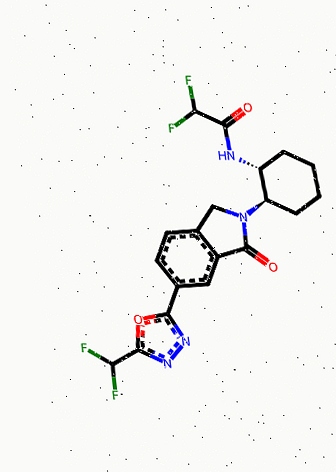 O=C(N[C@@H]1CCCC[C@H]1N1Cc2ccc(-c3nnc(C(F)F)o3)cc2C1=O)C(F)F